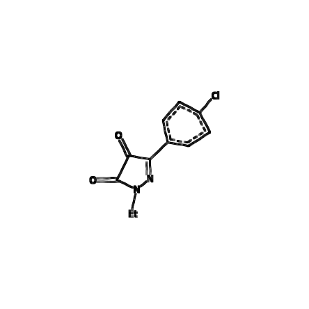 CCN1N=C(c2ccc(Cl)cc2)C(=O)C1=O